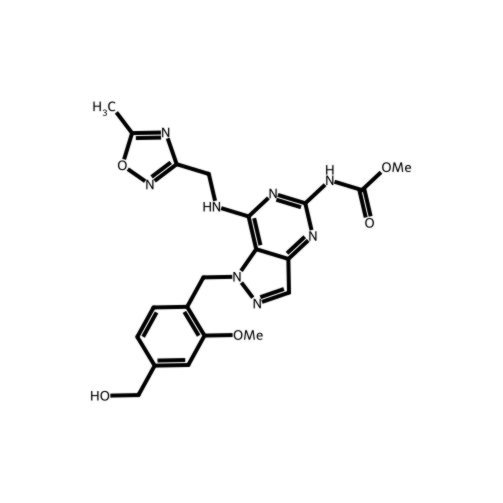 COC(=O)Nc1nc(NCc2noc(C)n2)c2c(cnn2Cc2ccc(CO)cc2OC)n1